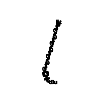 CCOCCOCCOCCOCCOCCOCCOCCOc1ccc(C(C)(C)CC(C)(C)C)cc1